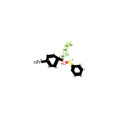 CCCc1ccc(COSc2ccccc2)cc1.F.F.F.F.F